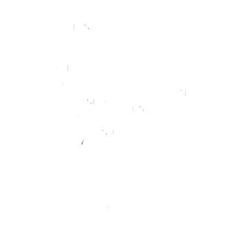 NCC(=O)NCC(=O)N[C@@H](Cc1ccc(O)cc1)C(=O)N[C@@H](CCC(N)=O)C(=O)O